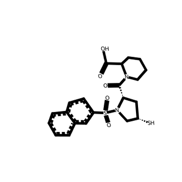 O=C(O)C1CCCCN1C(=O)[C@@H]1C[C@H](S)CN1S(=O)(=O)c1ccc2ccccc2c1